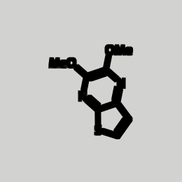 COc1nc2ccsc2nc1OC